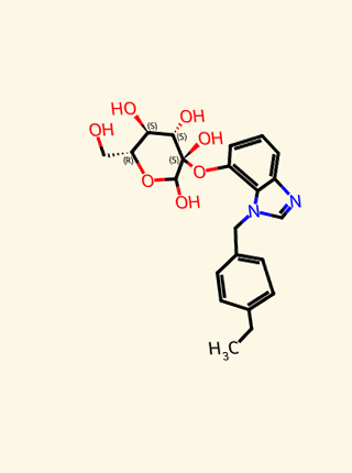 CCc1ccc(Cn2cnc3cccc(O[C@]4(O)C(O)O[C@H](CO)[C@@H](O)[C@@H]4O)c32)cc1